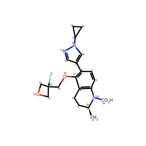 C[C@H]1CCc2c(ccc(-c3cnn(C4CC4)c3)c2OCC2(F)COC2)N1C(=O)O